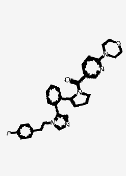 O=C(c1ccc(N2CCOCC2)nc1)N1CCCC1c1ccccc1-c1cncn1CCc1ccc(F)cc1